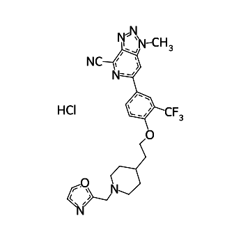 Cl.Cn1nnc2c(C#N)nc(-c3ccc(OCCC4CCN(Cc5ncco5)CC4)c(C(F)(F)F)c3)cc21